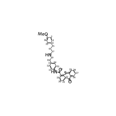 COc1ccc(CCCNCCc2ccc(NC(=O)c3cccc4c(=O)c5ccccc5sc34)cc2)cc1